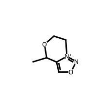 CC1OCC[n+]2nocc21